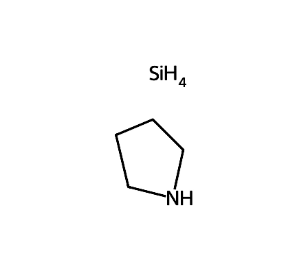 C1CCNC1.[SiH4]